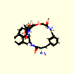 C/C=C(/C[C@@H]1NC(=O)[C@@H](N)Cc2cccc(c2)CNC(=O)CO[C@H]2CCN(C1=O)[C@H]2C(C)=O)c1cc(F)ccc1C